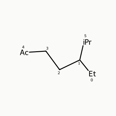 CCC(CCC(C)=O)C(C)C